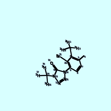 [2H]C([2H])([2H])c1c(C)ccc(-n2nnn(C([2H])([2H])[2H])c2=O)c1Br